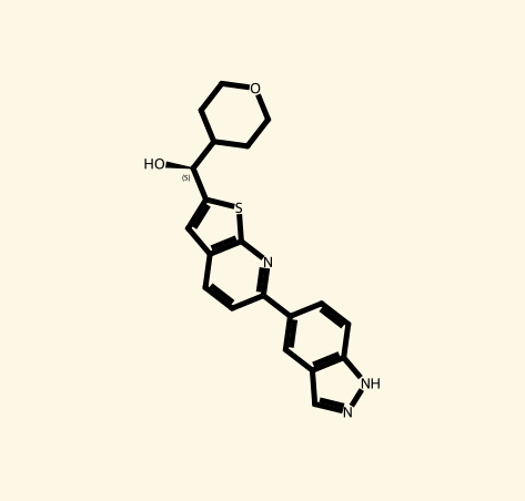 O[C@H](c1cc2ccc(-c3ccc4[nH]ncc4c3)nc2s1)C1CCOCC1